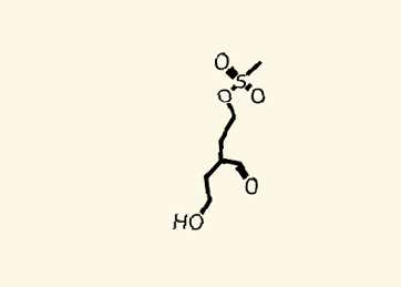 CS(=O)(=O)OCCC(C=O)CCO